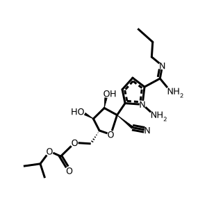 CCC/N=C(/N)c1ccc([C@]2(C#N)O[C@H](COC(=O)OC(C)C)[C@@H](O)[C@H]2O)n1N